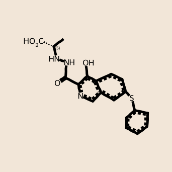 C[C@H](NNC(=O)c1ncc2cc(Sc3ccccc3)ccc2c1O)C(=O)O